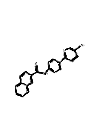 CC(=O)c1ccc(-c2ccc(NC(=O)c3ccc4ccccc4c3)cc2)nc1